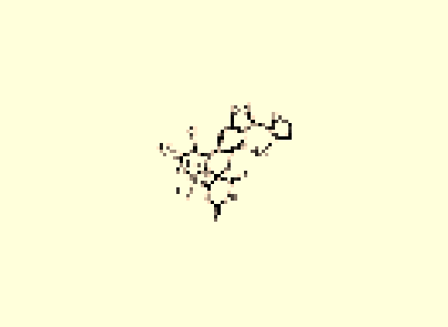 C[C@@H]1O[C@H](C)C(Cl)N2c3cc4onc(-c5nccn5C)c4nc3CC3(C(=O)NC(=O)NC3=O)[C@@H]12